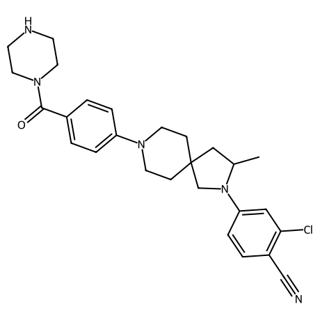 CC1CC2(CCN(c3ccc(C(=O)N4CCNCC4)cc3)CC2)CN1c1ccc(C#N)c(Cl)c1